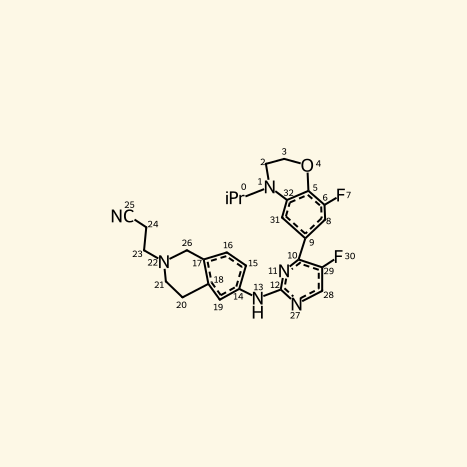 CC(C)N1CCOc2c(F)cc(-c3nc(Nc4ccc5c(c4)CCN(CCC#N)C5)ncc3F)cc21